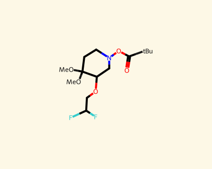 COC1(OC)CCN(OC(=O)C(C)(C)C)CC1OCC(F)F